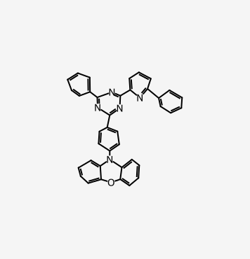 c1ccc(-c2cccc(-c3nc(-c4ccccc4)nc(-c4ccc(N5c6ccccc6Oc6ccccc65)cc4)n3)n2)cc1